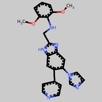 COc1cccc(OC)c1NCc1nc2cc(-n3ccnc3)c(-c3ccncc3)cc2[nH]1